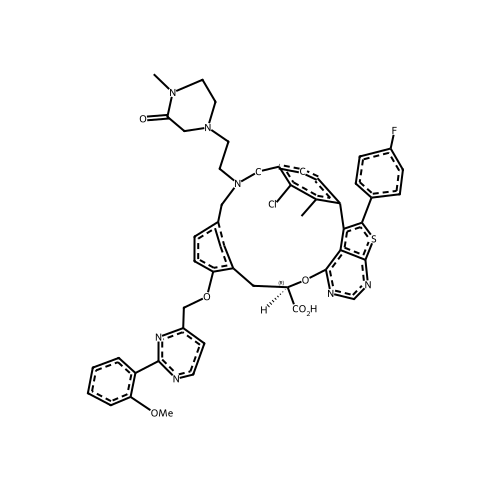 COc1ccccc1-c1nccc(COc2ccc3cc2C[C@H](C(=O)O)Oc2ncnc4sc(-c5ccc(F)cc5)c(c24)-c2ccc(c(Cl)c2C)CN(CCN2CCN(C)C(=O)C2)C3)n1